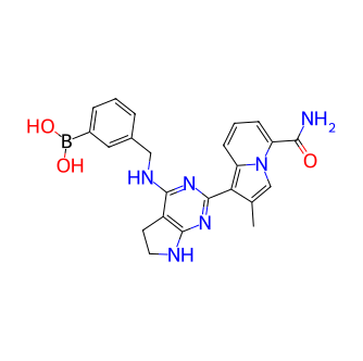 Cc1cn2c(C(N)=O)cccc2c1-c1nc2c(c(NCc3cccc(B(O)O)c3)n1)CCN2